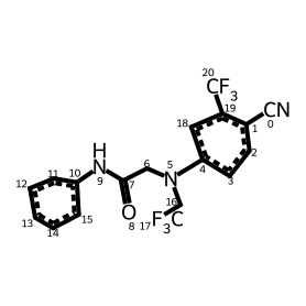 N#Cc1ccc(N(CC(=O)Nc2ccccc2)CC(F)(F)F)cc1C(F)(F)F